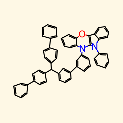 c1ccc(-c2ccc(C(c3ccc(-c4ccccc4)cc3)c3cccc(-c4cccc(N5c6ccccc6Oc6c5n(-c5ccccc5)c5ccccc65)c4)c3)cc2)cc1